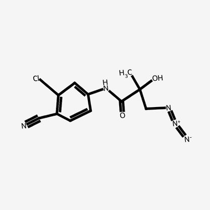 CC(O)(CN=[N+]=[N-])C(=O)Nc1ccc(C#N)c(Cl)c1